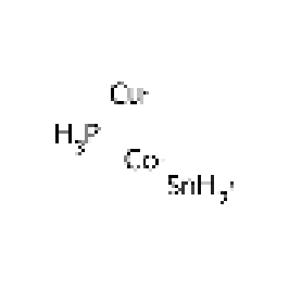 P.[Co].[Cu].[SnH2]